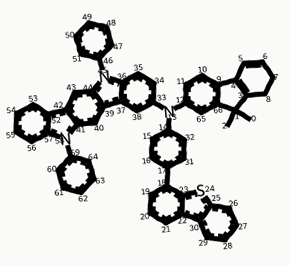 CC1(C)C2=C(C=CCC2)c2ccc(N(c3ccc(-c4cccc5c4sc4ccccc45)cc3)c3ccc4c(c3)c3cc5c(cc3n4-c3ccccc3)c3ccccc3n5-c3ccccc3)cc21